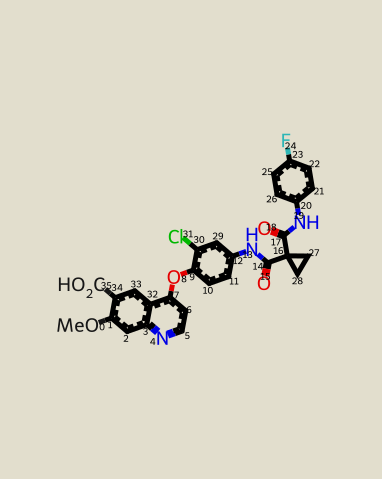 COc1cc2nccc(Oc3ccc(NC(=O)C4(C(=O)Nc5ccc(F)cc5)CC4)cc3Cl)c2cc1C(=O)O